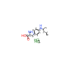 C=CCC(C)Nc1ccc(CC(N)C(=O)O)cc1.Cl.Cl